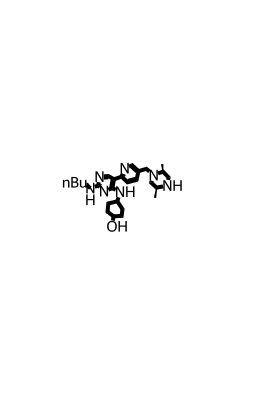 CCCCNc1ncc(-c2ccc(CN3C[C@H](C)NC[C@@H]3C)cn2)c(NC2CCC(O)CC2)n1